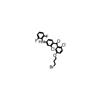 O=C(c1ccc(Nc2c(F)cccc2F)cc1Cl)c1cc(OCCCBr)ccc1Cl